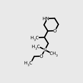 CCO[Si](C)(C)CC(C)C1CNCCO1